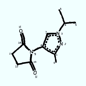 Cc1nn(C(C)C)[c]c1N1C(=O)CCC1=O